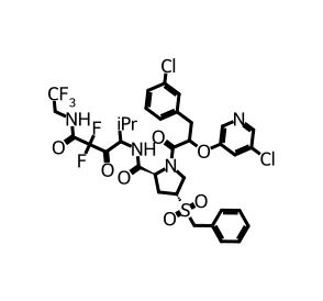 CC(C)C(NC(=O)[C@@H]1C[C@@H](S(=O)(=O)Cc2ccccc2)CN1C(=O)C(Cc1cccc(Cl)c1)Oc1cncc(Cl)c1)C(=O)C(F)(F)C(=O)NCC(F)(F)F